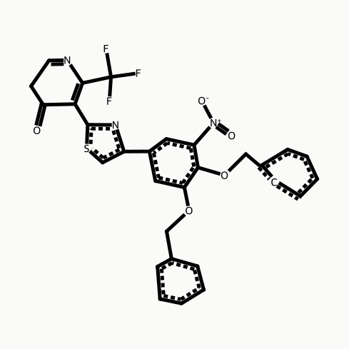 O=C1CC=NC(C(F)(F)F)=C1c1nc(-c2cc(OCc3ccccc3)c(OCc3ccccc3)c([N+](=O)[O-])c2)cs1